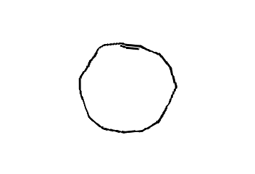 C1=C\CCCCCCCCCCCCC/1